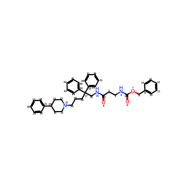 O=C(CCNC(=O)OCc1ccccc1)NCC(CCCN1CCC(c2ccccc2)CC1)(c1ccccc1)c1ccccc1